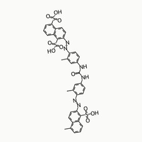 Cc1cc(NC(=O)Nc2ccc(N=Nc3ccc4c(S(=O)(=O)O)cccc4c3S(=O)(=O)O)c(C)c2)ccc1N=Nc1ccc2c(C)cccc2c1S(=O)(=O)O